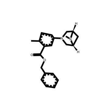 Cc1ccc(N2C[C@H]3C[C@@H](C2)N3C)cc1C(=O)OCc1ccccc1